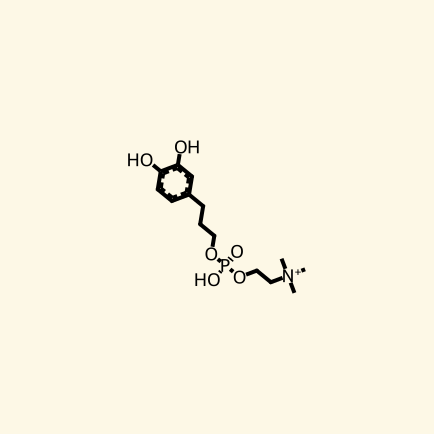 C[N+](C)(C)CCOP(=O)(O)OCCCc1ccc(O)c(O)c1